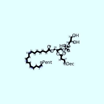 CCCCC/C=C\C/C=C\C/C=C\C/C=C\CCCCCC(=O)OC[C@H](COP(=O)(O)OC[C@@H](O)CO)OC(=O)CCCCCCCCCCCC